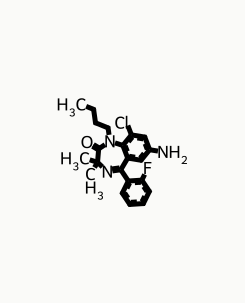 CCCCN1C(=O)C(C)(C)N=C(c2ccccc2F)c2cc(N)cc(Cl)c21